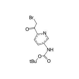 CC(C)(C)OC(=O)Nc1ccc(C(=O)CBr)nc1